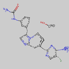 NC(=O)Nc1cccc(-c2cnc3cc(-c4ncc(F)c(N)n4)ccn23)c1.O=CO